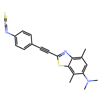 Cc1cc(N(C)C)c(C)c2sc(C#Cc3ccc(N=C=S)cc3)nc12